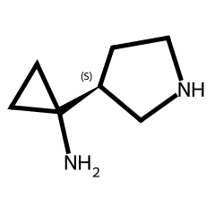 NC1([C@H]2CCNC2)CC1